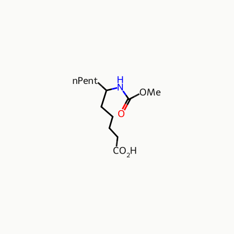 CCCCCC(CCCCC(=O)O)NC(=O)OC